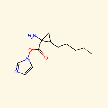 CCCCCC1CC1(N)C(=O)On1ccnc1